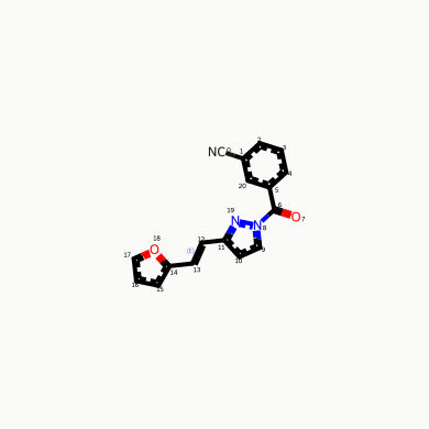 N#Cc1cccc(C(=O)n2ccc(/C=C/c3ccco3)n2)c1